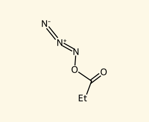 CCC(=O)ON=[N+]=[N-]